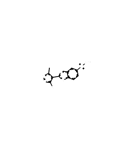 CNS(=O)(=O)c1ccc2nc(-c3c(N)n[nH]c3C)sc2c1